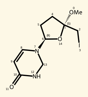 CO[C@@]1(CI)CC[C@H](N2C=CC(=O)NC2)O1